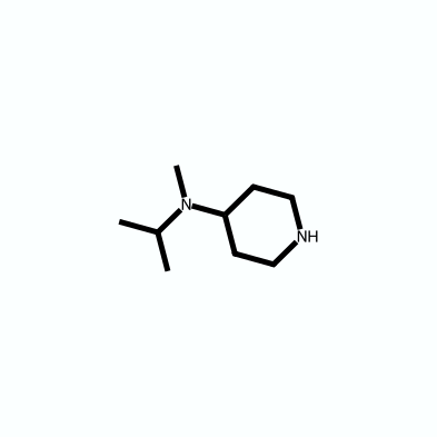 CC(C)N(C)C1CCNCC1